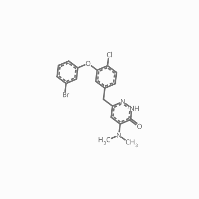 CN(C)c1cc(Cc2ccc(Cl)c(Oc3cccc(Br)c3)c2)n[nH]c1=O